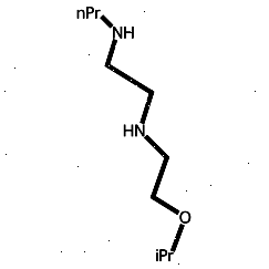 CCCNCCNCCOC(C)C